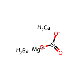 O=[Si]([O-])[O-].[BaH2].[CaH2].[Mg+2]